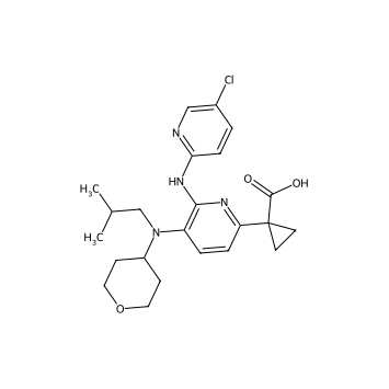 CC(C)CN(c1ccc(C2(C(=O)O)CC2)nc1Nc1ccc(Cl)cn1)C1CCOCC1